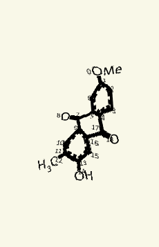 COc1ccc2c(c1)C(=O)c1cc(C)c(O)cc1C2=O